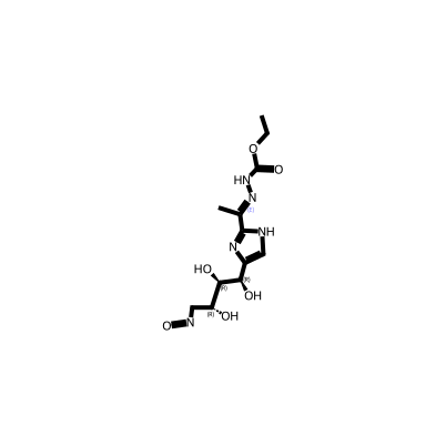 CCOC(=O)N/N=C(\C)c1nc([C@@H](O)[C@H](O)[C@H](O)CN=O)c[nH]1